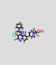 Cc1nc2ccc(-c3cnc(C(C)(C)O)nc3)cc2c(NC(C)c2ccccc2F)c1Cl